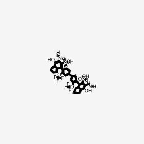 [H]/N=N/c1c(S(=O)(=O)O)c(-c2ccc(-c3ccc(-c4c(S(=O)(=O)O)c(/N=N/[H])c(O)c5ccccc45)c(OC(F)(F)F)c3)cc2OC(F)(F)F)c2ccccc2c1O